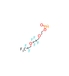 C[PH](=O)OCCOCC(F)(F)C(F)(F)OCC(F)(F)C(F)(F)F